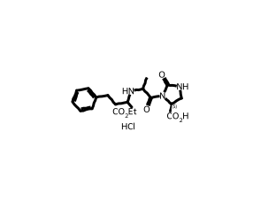 CCOC(=O)C(CCc1ccccc1)NC(C)C(=O)N1C(=O)NC[C@H]1C(=O)O.Cl